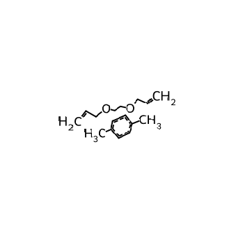 C=CCOCCOCC=C.Cc1ccc(C)cc1